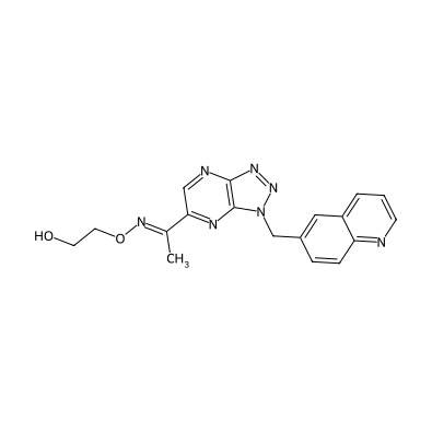 C/C(=N\OCCO)c1cnc2nnn(Cc3ccc4ncccc4c3)c2n1